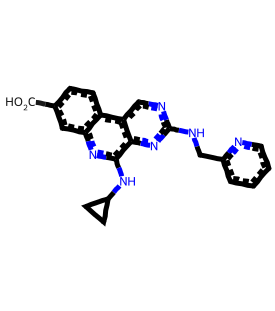 O=C(O)c1ccc2c(c1)nc(NC1CC1)c1nc(NCc3ccccn3)ncc12